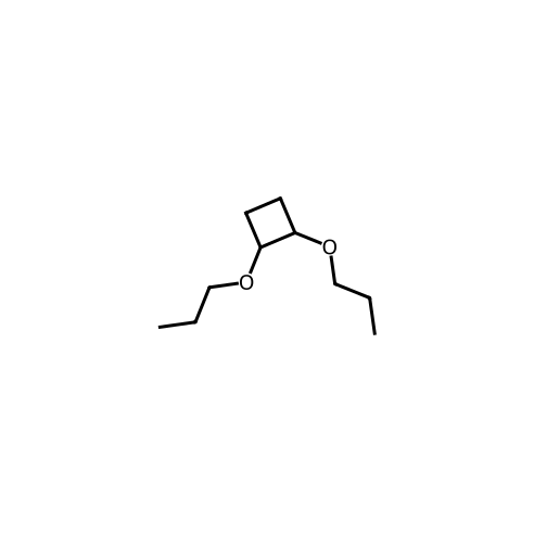 CCCOC1CCC1OCCC